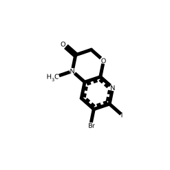 CN1C(=O)COc2nc(I)c(Br)cc21